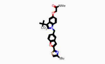 CNC(=O)COc1ccc2c(c1)c(C(C)(C)C(=O)O)cn2Cc1ccc2oc(-c3nc(C(C)(C)C)cs3)cc2c1